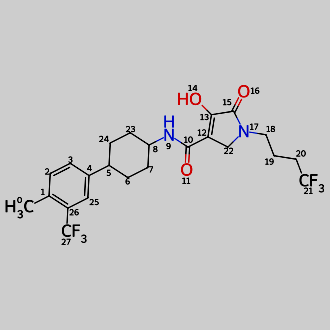 Cc1ccc(C2CCC(NC(=O)C3=C(O)C(=O)N(CCCC(F)(F)F)C3)CC2)cc1C(F)(F)F